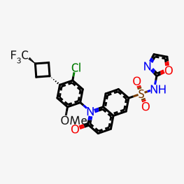 COc1cc([C@H]2C[C@H](C(F)(F)F)C2)c(Cl)cc1-n1c(=O)ccc2cc(S(=O)(=O)Nc3ncco3)ccc21